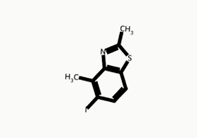 Cc1nc2c(C)c(I)ccc2s1